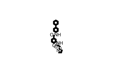 O=C(Cn1cccn1)Nc1cc(C(=O)Nc2ccc(-c3ccccc3)cc2)ccc1C(F)(F)F